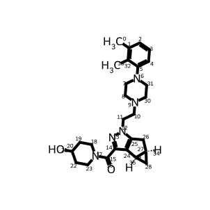 Cc1cccc(N2CCN(CCn3nc(C(=O)N4CCC(O)CC4)c4c3C[C@H]3C[C@@H]43)CC2)c1C